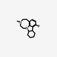 CN1CCc2ccc(F)c3c2N(CC1)C1CCCCC31